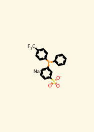 O=S(=O)([O-])c1cccc(P(c2ccccc2)c2ccc(C(F)(F)F)cc2)c1.[Na+]